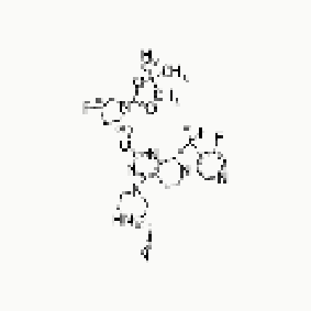 CC(C)(C)OC(=O)N1C[C@H](F)C[C@H]1COc1nc2c(c(N3CCN[C@@H](CC#N)C3)n1)CCN(c1cncc(F)c1C(F)(F)F)C2